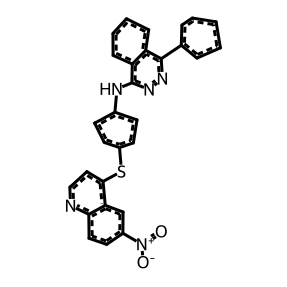 O=[N+]([O-])c1ccc2nccc(Sc3ccc(Nc4nnc(-c5ccccc5)c5ccccc45)cc3)c2c1